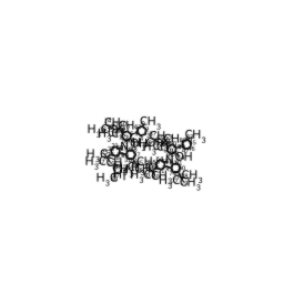 Cc1cccc(-c2cc(C(C)(C)CC(C)(C)C)cc(-n3c4ccc(C(C)(C)C)cc4c4cc(C(C)(C)C)ccc43)c2O)c1.Cc1cccc(-c2cc(C(C)(C)CC(C)(C)C)cc(-n3c4ccc(C(C)(C)C)cc4c4cc(C(C)(C)C)ccc43)c2O)c1.[CH3][Hf][CH3]